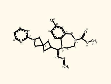 C=N/N=C(/C1CC2(C1)CN(c1ncccn1)C2)N1CCN(C(=O)OC)Cc2cc(Cl)ccc21